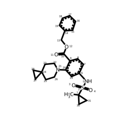 CC1(S(=O)(=O)Nc2ccc(C(=O)OCc3ccccc3)c(N3CCC4(CC3)CC4)c2)CC1